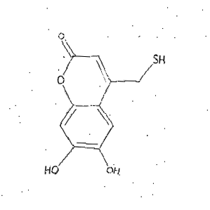 O=c1cc(CS)c2cc(O)c(O)cc2o1